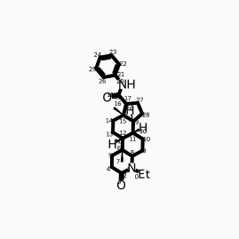 CCN1C(=O)CC[C@@]2(C)C1CC[C@@H]1[C@H]2CC[C@]2(C)C(C(=O)Nc3ccccc3)CC[C@@H]12